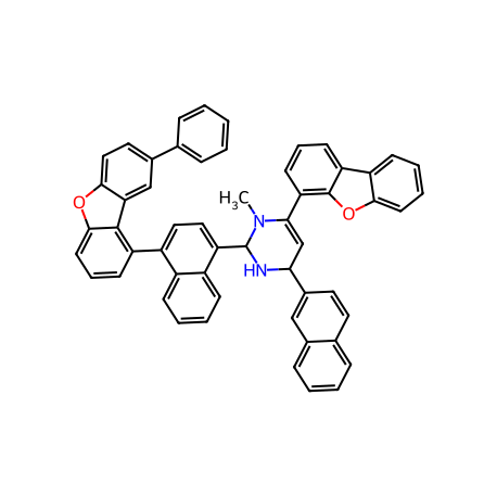 CN1C(c2cccc3c2oc2ccccc23)=CC(c2ccc3ccccc3c2)NC1c1ccc(-c2cccc3oc4ccc(-c5ccccc5)cc4c23)c2ccccc12